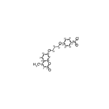 Cc1cc(=O)oc2cc(OCCCOc3ccc(C(=O)Cl)cc3)ccc12